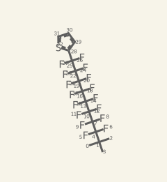 CC(C)(C)C(F)(F)C(F)(F)C(F)(F)C(F)(F)C(F)(F)C(F)(F)C(F)(F)C(F)(F)c1cccs1